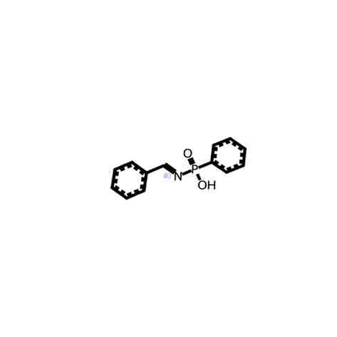 O=P(O)(/N=C/c1ccccc1)c1ccccc1